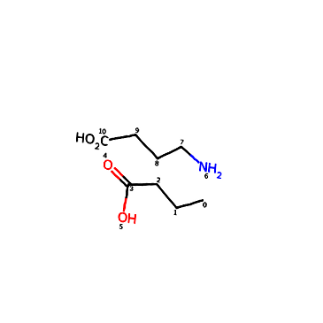 CCCC(=O)O.NCCCC(=O)O